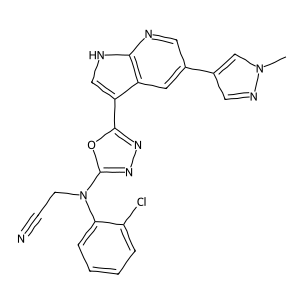 Cn1cc(-c2cnc3[nH]cc(-c4nnc(N(CC#N)c5ccccc5Cl)o4)c3c2)cn1